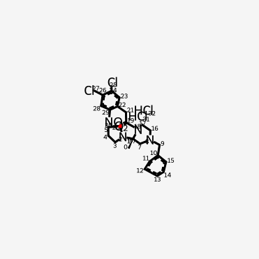 C[C@]1(N2CCCC2)CN(Cc2ccccc2)CCN1C(=O)Cc1cc(Cl)c(Cl)cc1[N+](=O)[O-].Cl.Cl